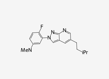 CNc1ccc(F)c(-n2cc3cc(CCC(C)C)cnc3n2)c1